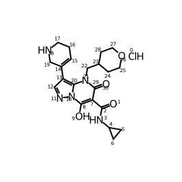 Cl.O=C(NC1CC1)c1c(O)n2ncc(C3=CCCNC3)c2n(CC2CCOCC2)c1=O